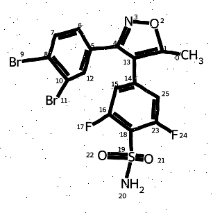 Cc1onc(-c2ccc(Br)c(Br)c2)c1-c1cc(F)c(S(N)(=O)=O)c(F)c1